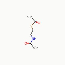 CCCC(=O)NCCSC(=O)CCC